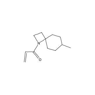 C=CC(=O)N1CCC12CCC(C)CC2